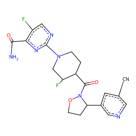 N#Cc1cncc(C2CCON2C(=O)C2CCN(c3ncc(F)c(C(N)=O)n3)CC2F)c1